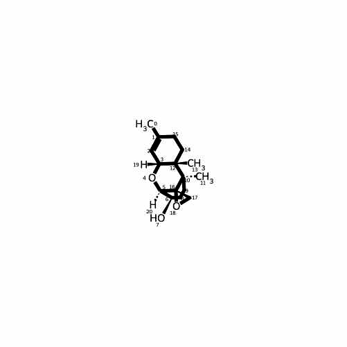 CC1=C[C@H]2O[C@@H]3[C@H](O)CC[C@](C)([C@@]2(C)CC1)[C@@]31CO1